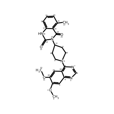 COc1cc2ncnc(N3CCC(n4c(=O)[nH]c5cccc(C)c5c4=O)CC3)c2cc1OC